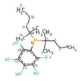 CCCC(C)(C)P(c1c(F)c(F)c(F)c(F)c1F)C(C)(C)CCC